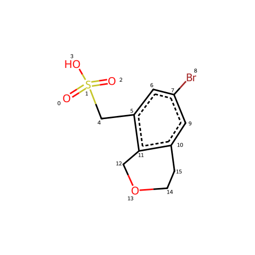 O=S(=O)(O)Cc1cc(Br)cc2c1COCC2